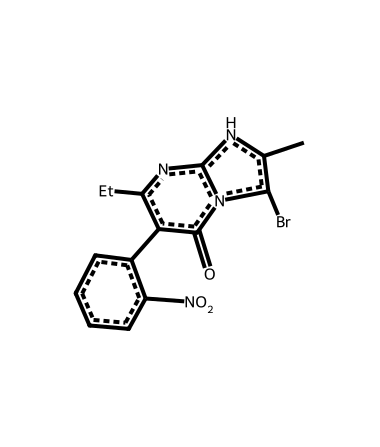 CCc1nc2[nH]c(C)c(Br)n2c(=O)c1-c1ccccc1[N+](=O)[O-]